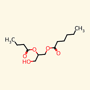 CCCCCC(=O)OCC(CO)OC(=O)CCC